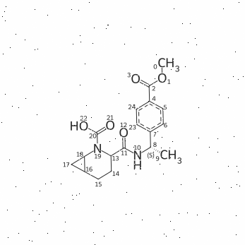 COC(=O)c1ccc([C@H](C)NC(=O)C2CCC3CC3N2C(=O)O)cc1